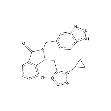 O=C1c2ccccc2C(Cc2c(Cl)cnn2C2CC2)N1Cc1ccc2[nH]nnc2c1